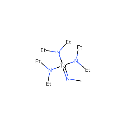 CC[N](CC)[Ta](=[N]C)([N](CC)CC)[N](CC)CC